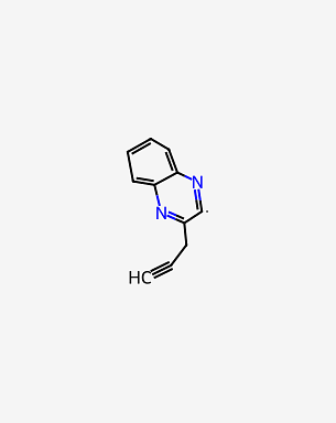 C#CCc1[c]nc2ccccc2n1